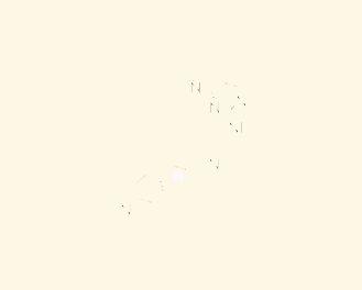 CN(C/C=C/c1ccc(N(C)C)cc1)CCNc1nccc(N2CCCCCC2)n1